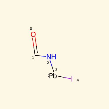 O=C[NH][Pb][I]